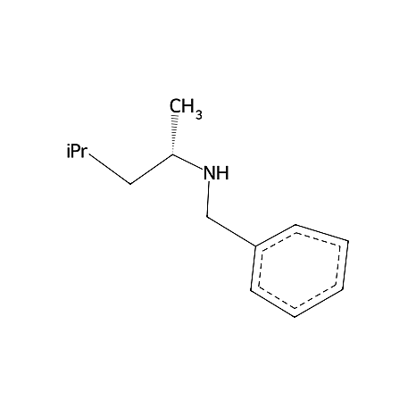 CC(C)C[C@H](C)NCc1ccccc1